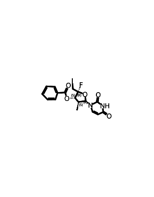 C[C@@H]1[C@H](n2ccc(=O)[nH]c2=O)O[C@](F)(CI)[C@H]1OC(=O)c1ccccc1